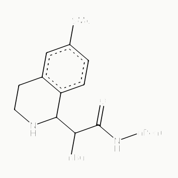 CCCCCNC(=O)C(CCCC)C1NCCc2cc(SC)ccc21